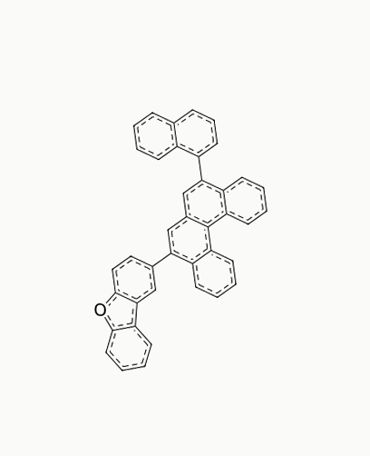 c1ccc2c(-c3cc4cc(-c5ccc6oc7ccccc7c6c5)c5ccccc5c4c4ccccc34)cccc2c1